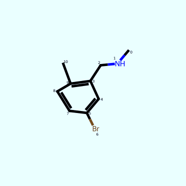 CNCc1cc(Br)ccc1C